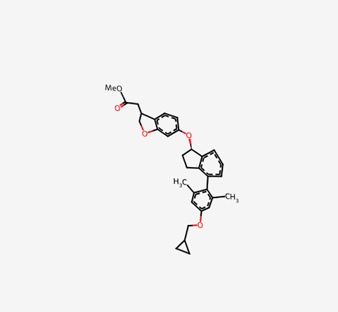 COC(=O)CC1COc2cc(O[C@@H]3CCc4c(-c5c(C)cc(OCC6CC6)cc5C)cccc43)ccc21